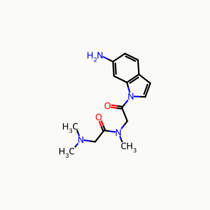 CN(C)CC(=O)N(C)CC(=O)n1ccc2ccc(N)cc21